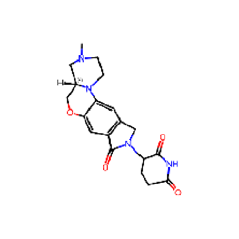 CN1CCN2c3cc4c(cc3OC[C@@H]2C1)C(=O)N(C1CCC(=O)NC1=O)C4